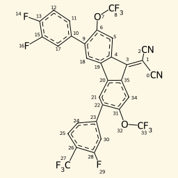 N#CC(C#N)=C1c2cc(OC(F)(F)F)c(-c3ccc(F)c(F)c3)cc2-c2cc(-c3ccc(C(F)(F)F)c(F)c3)c(OC(F)(F)F)cc21